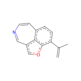 C=C(C)c1ccc2c3c(coc13)C=NC=C2